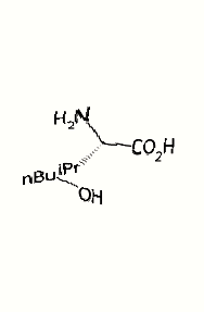 CC(C)[C@H](N)C(=O)O.[CH2]CCCO